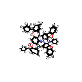 Cc1cc2c(c(-c3ccccc3)c1)Oc1cc3c4c5c1B2c1cc2c(oc6ccccc62)c2c1N5c1c(cc5c(oc6ccccc65)c1N2c1ccccc1)B4c1cc(C)cc(-c2ccccc2)c1O3